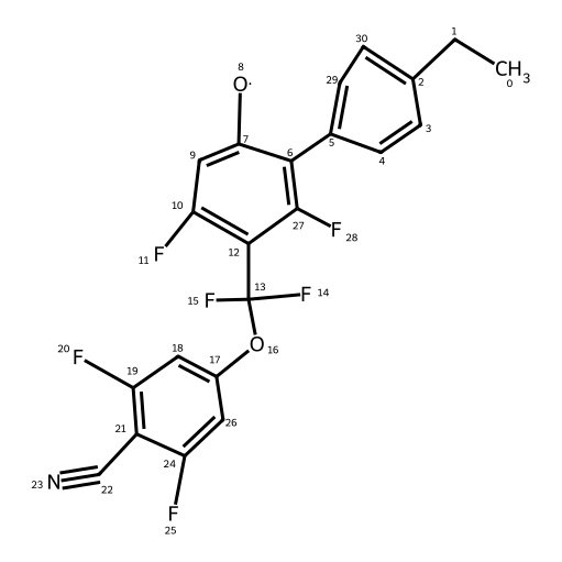 CCc1ccc(-c2c([O])cc(F)c(C(F)(F)Oc3cc(F)c(C#N)c(F)c3)c2F)cc1